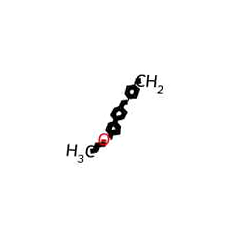 C=C[C@H]1CC[C@H](CCC2CCC(c3ccc(COCC=CC)cc3)CC2)CC1